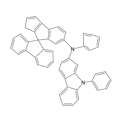 C1=CC2=C(C1)C1(c3cc(N(c4ccccc4)c4ccc5c6ccccc6n(-c6ccccc6)c5c4)ccc32)c2ccccc2-c2ccccc21